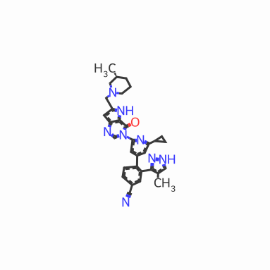 Cc1c[nH]nc1-c1cc(C#N)ccc1-c1cc(C2CC2)nc(-n2cnc3cc(CN4CCC[C@H](C)C4)[nH]c3c2=O)c1